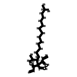 C=CC(=O)C([C]=O)(C(=O)C=C)C(CCCCCCCCCCCCC(C)C)C(C)C